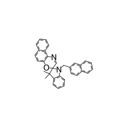 CC1(C)c2ccccc2N(Cc2ccc3ccccc3c2)C12C=Nc1c(ccc3ccccc13)O2